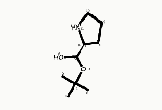 CC(C)(C)OC(O)[C@@H]1CCCN1